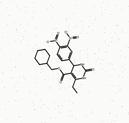 CCC1=C(C(=O)OCC2CCCCC2)C(c2ccc([N+](=O)[O-])c([N+](=O)[O-])c2)NC(=O)N1